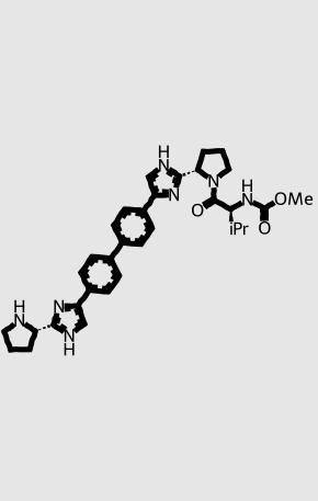 COC(=O)N[C@H](C(=O)N1CCC[C@H]1c1nc(-c2ccc(-c3ccc(-c4c[nH]c([C@@H]5CCCN5)n4)cc3)cc2)c[nH]1)C(C)C